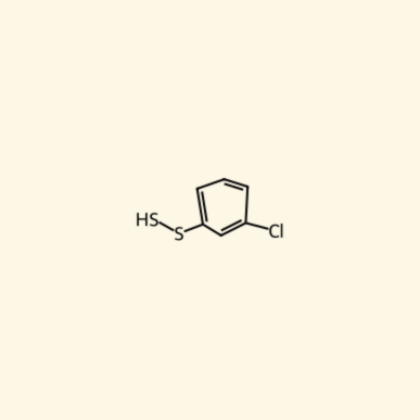 SSc1cccc(Cl)c1